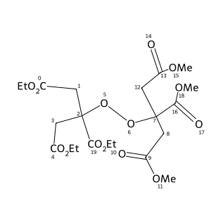 CCOC(=O)CC(CC(=O)OCC)(OOC(CC(=O)OC)(CC(=O)OC)C(=O)OC)C(=O)OCC